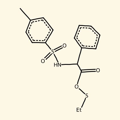 CCSOC(=O)C(NS(=O)(=O)c1ccc(C)cc1)c1ccccc1